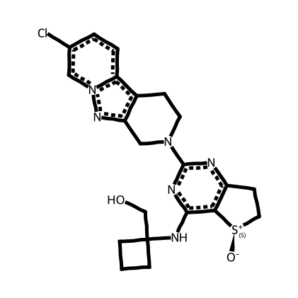 [O-][S@+]1CCc2nc(N3CCc4c(nn5cc(Cl)ccc45)C3)nc(NC3(CO)CCC3)c21